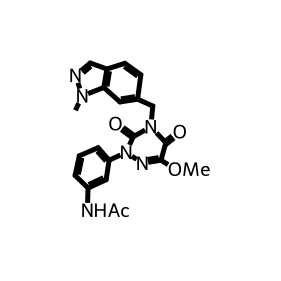 COc1nn(-c2cccc(NC(C)=O)c2)c(=O)n(Cc2ccc3cnn(C)c3c2)c1=O